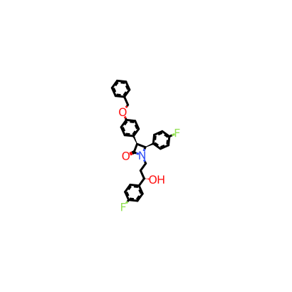 O=C1[C@@H](c2ccc(OCc3ccccc3)cc2)[C@@H](c2ccc(F)cc2)N1CC[C@H](O)c1ccc(F)cc1